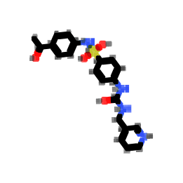 CC(=O)c1ccc(NS(=O)(=O)c2ccc(NC(=O)NCc3cccnc3)cc2)cc1